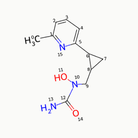 Cc1cccc(C2CC2CN(O)C(N)=O)n1